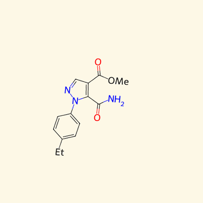 CCc1ccc(-n2ncc(C(=O)OC)c2C(N)=O)cc1